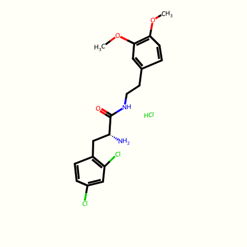 COc1ccc(CCNC(=O)[C@H](N)Cc2ccc(Cl)cc2Cl)cc1OC.Cl